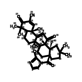 Cc1nccn1C(=O)[C@]12CCC(C)(C)C[C@@H]1[C@H]1C(=O)C=C3[C@@]4(C)C=C(C#N)C(=O)C(C)(C)C4CC[C@@]3(C)[C@]1(C)CC2